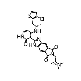 C[C@@H](Cc1sccc1Cl)Nc1cc[nH]c(=O)c1-c1nc2cc3c(cc2[nH]1)C(=O)N(C[C@H](C)N(C)C)C3=O